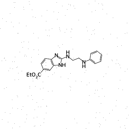 CCOC(=O)c1ccc2nc(NCCNc3ccccc3)[nH]c2c1